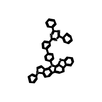 c1ccc(-c2nc(-c3ccccc3)nc(-c3cccc(-c4ccc(-n5c6c(ccc7c6ccn7-c6ccccc6)c6ccc7c8ccccc8sc7c65)cc4)c3)n2)cc1